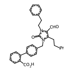 CC(C)CCc1c(C=O)n(CCc2ccccc2)c(=O)n1Cc1ccc(-c2ccccc2C(=O)O)cc1